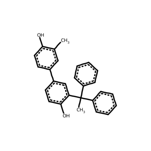 Cc1cc(-c2ccc(O)c(C(C)(c3ccccc3)c3ccccc3)c2)ccc1O